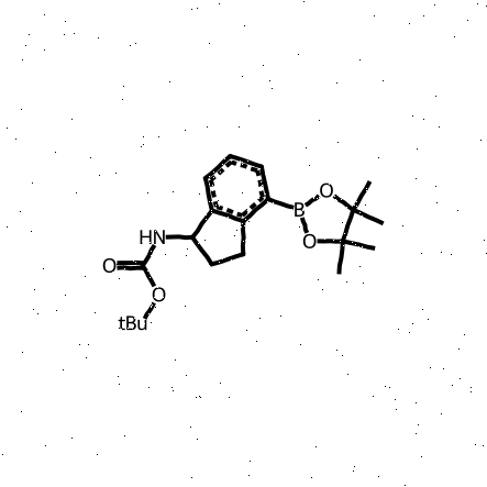 CC(C)(C)OC(=O)NC1CCc2c(B3OC(C)(C)C(C)(C)O3)cccc21